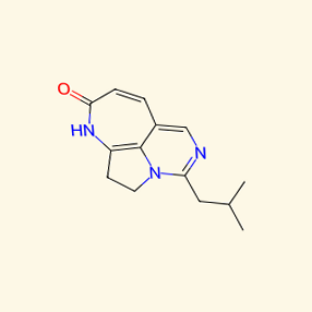 CC(C)CC1=NC=C2C=CC(=O)NC3=C2N1CC3